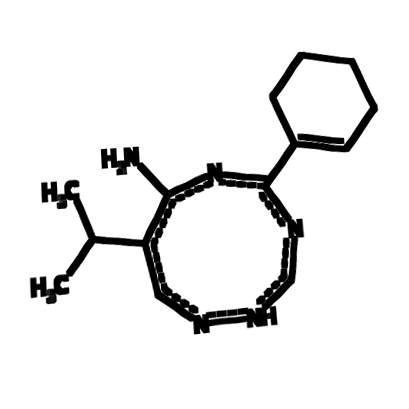 CC(C)c1cn[nH]cnc(C2=CCCCC2)nc1N